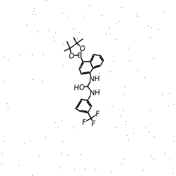 CC1(C)OB(c2ccc(NC(O)Nc3cccc(C(F)(F)F)c3)c3ccccc23)OC1(C)C